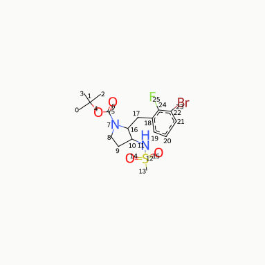 CC(C)(C)OC(=O)N1CCC(NS(C)(=O)=O)C1Cc1cccc(Br)c1F